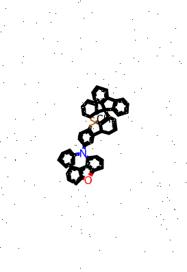 CC1(C2(C3=C4Sc5ccc(N(c6ccccc6)c6cccc7oc8ccccc8c67)cc5C4CC=C3)c3ccccc3-c3ccccc32)C=CC=CC1